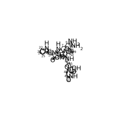 C[C@@H]([C@H](NC(=O)[C@H](CCCCN)NC(=O)N[C@@H](Cc1c[nH]c2ccccc12)C(=O)O)C(=O)NC[C@H]1C[C@@H](O)[C@H](n2ccc(=O)[nH]c2=O)O1)N(C)C(=O)CN